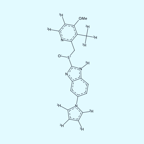 [2H]c1nc(C[S+]([O-])c2nc3cc(-n4c([2H])c([2H])c([2H])c4[2H])ccc3n2[2H])c(C([2H])([2H])[2H])c(OC)c1[2H]